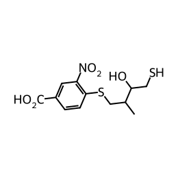 CC(CSc1ccc(C(=O)O)cc1[N+](=O)[O-])C(O)CS